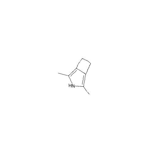 Cc1[nH]c(C)c2c1CC2